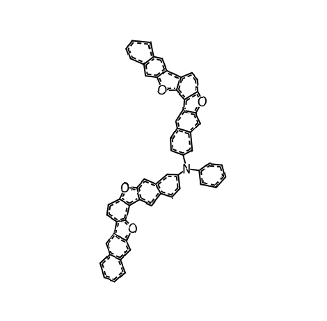 c1ccc(N(c2ccc3cc4c(cc3c2)oc2ccc3c5cc6ccccc6cc5oc3c24)c2ccc3cc4c(cc3c2)oc2ccc3c5cc6ccccc6cc5oc3c24)cc1